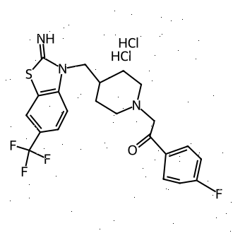 Cl.Cl.N=c1sc2cc(C(F)(F)F)ccc2n1CC1CCN(CC(=O)c2ccc(F)cc2)CC1